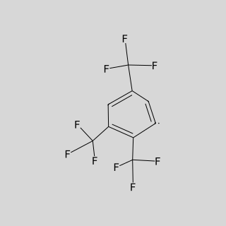 FC(F)(F)c1c[c]c(C(F)(F)F)c(C(F)(F)F)c1